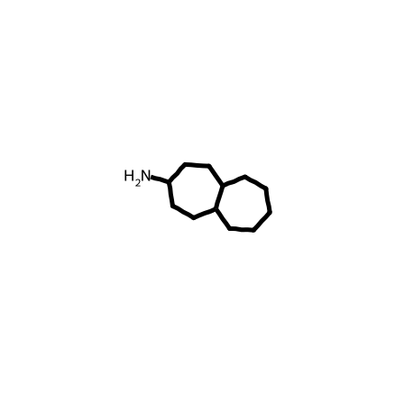 NC1CCC2CCCCCC2CC1